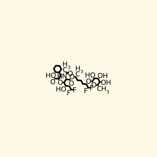 CC(=O)NC1C(OC(C)CCCC(OC2OC(C)C(O)C(O)C2O)C(F)F)OC(C(F)F)C(O)C1OC(CC1CCCCC1)C(=O)O